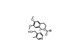 COc1cc2c(cc1OC)[C@@H](c1cncc(C)c1CO)[C@H]([N+](=O)[O-])CC2